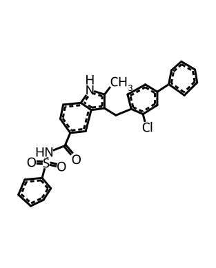 Cc1[nH]c2ccc(C(=O)NS(=O)(=O)c3ccccc3)cc2c1Cc1ccc(-c2ccccc2)cc1Cl